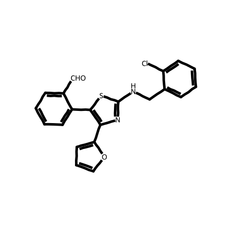 O=Cc1ccccc1-c1sc(NCc2ccccc2Cl)nc1-c1ccco1